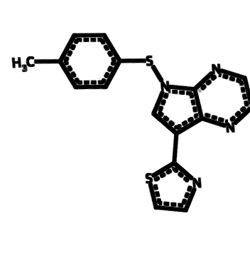 Cc1ccc(Sn2cc(-c3nccs3)c3nccnc32)cc1